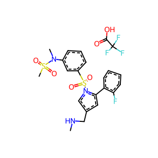 CNCc1cc(-c2ccccc2F)n(S(=O)(=O)c2cccc(N(C)S(C)(=O)=O)c2)c1.O=C(O)C(F)(F)F